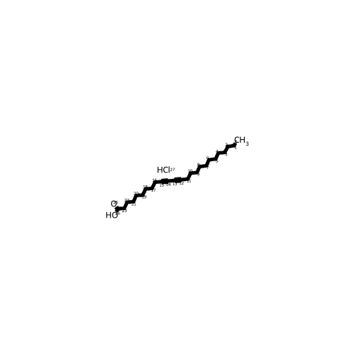 CCCCCCCCCCCCC#CC#CCCCCCCCCC(=O)O.Cl